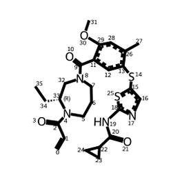 C=CC(=O)N1CCCN(C(=O)c2cc(Sc3cnc(NC(=O)C4CC4)s3)c(C)cc2OC)C[C@H]1CC